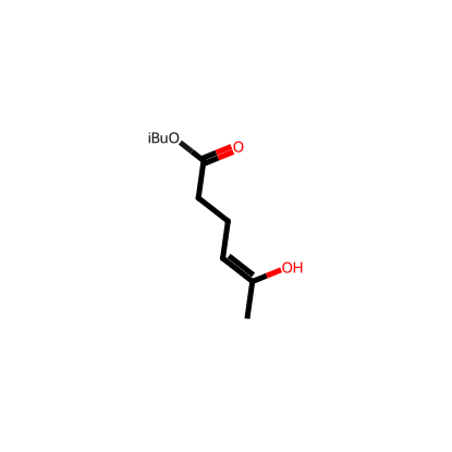 CC(O)=CCCC(=O)OCC(C)C